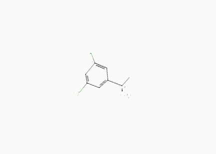 CO[C@H](C)c1cc(Cl)cc(Cl)c1